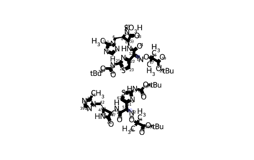 Cc1ncnn1C[C@@H]1[C@H](NC(=O)/C(=N\OC(C)(C)C(=O)OC(C)(C)C)c2csc(NC(=O)OC(C)(C)C)n2)C(=O)N1S(=O)(=O)O.Cc1ncnn1C[C@H]1NC(=O)[C@H]1NC(=O)/C(=N\OC(C)(C)C(=O)OC(C)(C)C)c1csc(NC(=O)OC(C)(C)C)n1